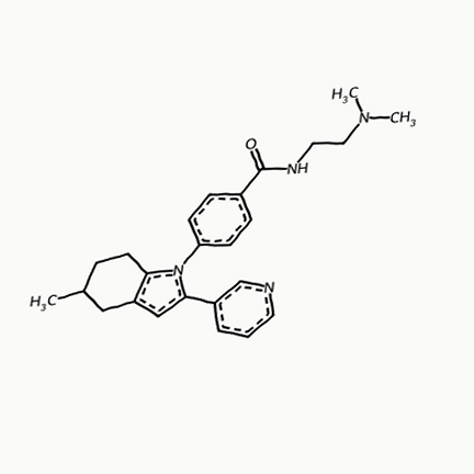 CC1CCc2c(cc(-c3cccnc3)n2-c2ccc(C(=O)NCCN(C)C)cc2)C1